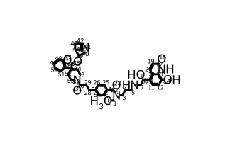 CCN(CCCNCC(O)c1ccc(O)c2[nH]c(=O)ccc12)C(=O)c1ccc(CCC(=O)N2CCC(C(=O)OC3CN=C4CC3C4)(c3ccccc3)CC2)cc1